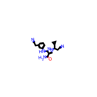 N#CCc1cccc(Nc2nn(C(CC#N)C3CC3)cc2C(N)=O)c1